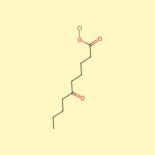 CCCCC(=O)CCCCC(=O)OCl